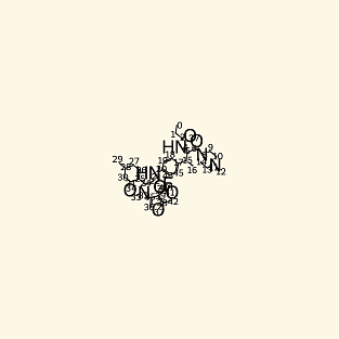 CCC(=O)N[C@@H](C(=O)N1CCN(C)CC1)[C@@H](C)c1ccc(NC(=O)[C@H](C2CCC(C)CC2)N(C=O)c2coc3c2COC3)c(F)c1